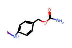 NC(=O)OCc1ccc(NI)cc1